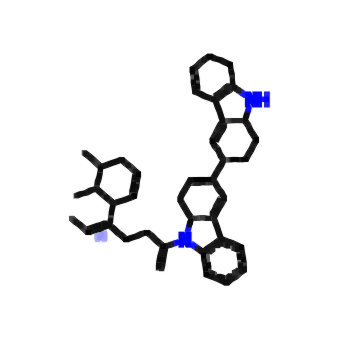 C=C(CC/C(=C/C)C1C=CCC(C)C1C)N1c2ccccc2C2=CC(C3C=C4C5=C(CCC=C5)NC4CC3)=CCC21